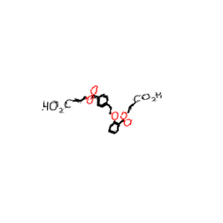 O=C(O)CCCOC(=O)c1ccc(CCOc2ccccc2C(=O)OCCCC(=O)O)cc1